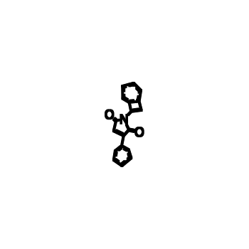 O=C1C=C(c2ccccc2)C(=O)N1C1=Cc2ccccc21